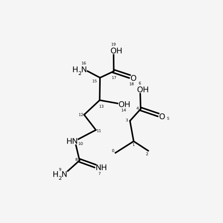 CC(C)CC(=O)O.N=C(N)NCCC(O)C(N)C(=O)O